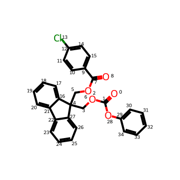 O=C(OCC1(COC(=O)c2ccc(Cl)cc2)c2ccccc2-c2ccccc21)Oc1ccccc1